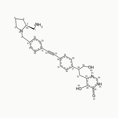 NC[C@@H]1CCCN1Cc1ccc(C#Cc2ccc(C(CO)Cc3nc[nH]c(=O)c3O)cc2)cc1